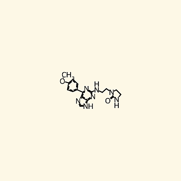 COc1ccc(-c2nc(NCCN3CCNC3=O)nc3[nH]cnc23)cc1